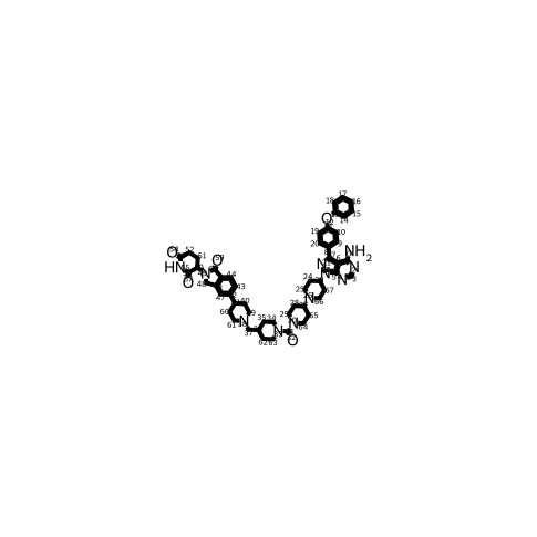 Nc1ncnc2c1c(-c1ccc(Oc3ccccc3)cc1)nn2C1CCN(C2CCN(C(=O)N3CCC(CN4CCC(c5ccc6c(c5)CN(C5CCC(=O)NC5=O)C6=O)CC4)CC3)CC2)CC1